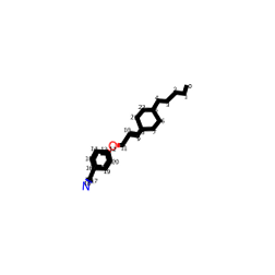 CCCCCC1CCC(C=CCOc2ccc(C#N)cc2)CC1